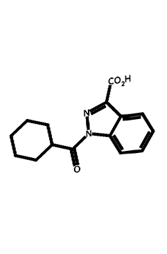 O=C(O)c1nn(C(=O)C2CCCCC2)c2ccccc12